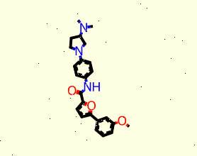 COc1cccc(-c2ccc(C(=O)Nc3ccc(N4CCC(N(C)C)C4)cc3)o2)c1